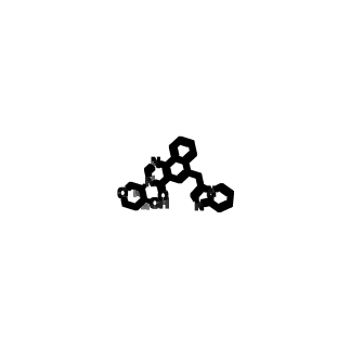 O=c1c2cc(Cc3cnc4ccccn34)c3ccccc3c2ncn1[C@H]1COCC[C@@H]1O